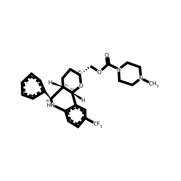 CN1CCN(C(=O)OC[C@H]2CC[C@@H]3[C@H](O2)c2cc(C(F)(F)F)ccc2N[C@H]3c2ccccc2)CC1